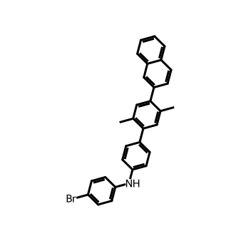 Cc1cc(-c2ccc3ccccc3c2)c(C)cc1-c1ccc(Nc2ccc(Br)cc2)cc1